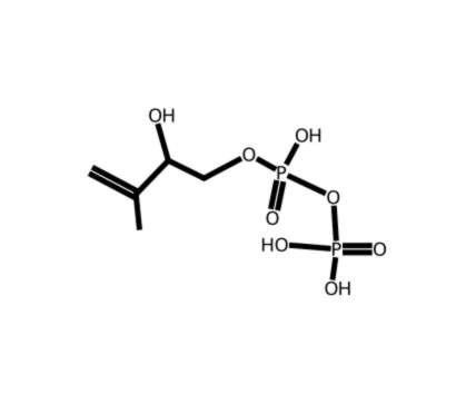 C=C(C)C(O)COP(=O)(O)OP(=O)(O)O